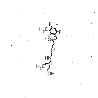 C=C/C(=C\NCCOCCC(=O)Oc1c(F)c(C)c(F)c(F)c1F)CCO